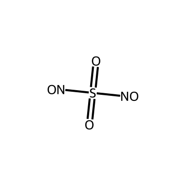 O=NS(=O)(=O)N=O